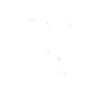 CC(C)(C)n1cc2ncn(C(C)(C)C)c2n1